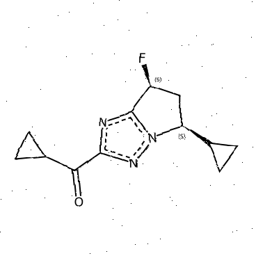 O=C(c1nc2n(n1)[C@H](C1CC1)C[C@@H]2F)C1CC1